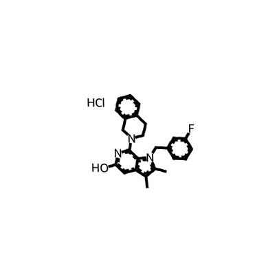 Cc1c(C)n(Cc2cccc(F)c2)c2c(N3CCc4ccccc4C3)nc(O)cc12.Cl